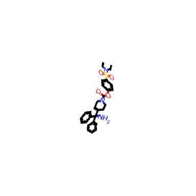 CCN(CC)S(=O)(=O)c1ccc(OC(=O)N2CCC(C(N)(c3ccccc3)c3ccccc3)CC2)cc1